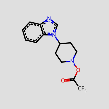 O=C(ON1CCC(n2cnc3ccccc32)CC1)C(F)(F)F